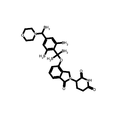 Bc1cc(C(B)N2CCOCC2)cc(B)c1C(B)(B)Oc1cccc2c1CN(C1CCC(=O)NC1=O)C2=O